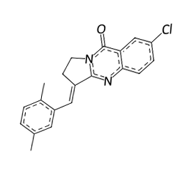 Cc1ccc(C)c(/C=C2\CCn3c2nc2ccc(Cl)cc2c3=O)c1